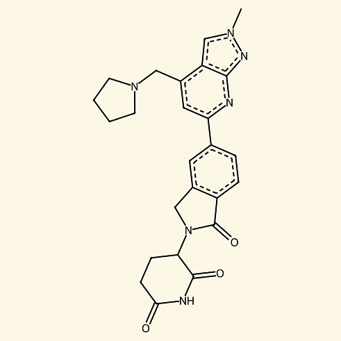 Cn1cc2c(CN3CCCC3)cc(-c3ccc4c(c3)CN(C3CCC(=O)NC3=O)C4=O)nc2n1